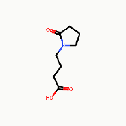 O=C(O)CCCN1CCCC1=O